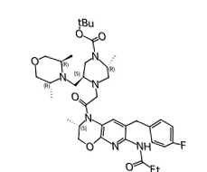 CCC(=O)Nc1nc2c(cc1Cc1ccc(F)cc1)N(C(=O)CN1C[C@@H](C)N(C(=O)OC(C)(C)C)C[C@@H]1CN1[C@H](C)COC[C@H]1C)[C@@H](C)CO2